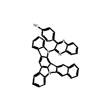 N#Cc1ccc(-c2nc3ccccc3nc2-n2c3ccccc3c3cc4c5ccccc5n5c6cc7ccccc7cc6c(c32)c45)cc1